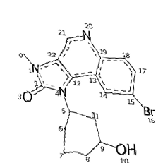 Cn1c(=O)n(C2CCCC(O)C2)c2c3cc(Br)ccc3ncc21